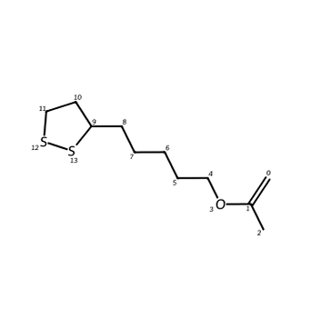 C=C(C)OCCCCCC1CCSS1